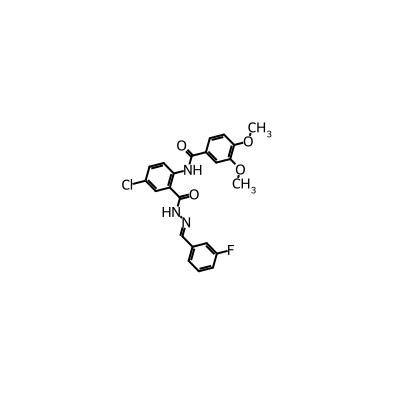 COc1ccc(C(=O)Nc2ccc(Cl)cc2C(=O)NN=Cc2cccc(F)c2)cc1OC